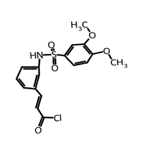 COc1ccc(S(=O)(=O)Nc2cccc(/C=C/C(=O)Cl)c2)cc1OC